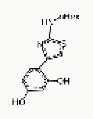 CCCCCCNc1nc(-c2ccc(O)cc2O)cs1